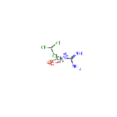 CCO.ClC(Cl)Cl.N#CS.N=C(N)N